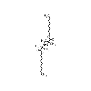 CCCCCCCCOC(=O)C(C)(C)N=NC(C)(C)C(=O)OCCCCCCCC